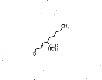 CCCCCC(O)C=CC=O.OO